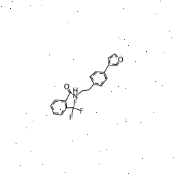 O=C(NCCc1ccc(-c2ccoc2)cc1)c1ccccc1C(F)(F)F